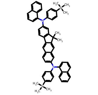 CC1(C)c2cc(N(c3ccc([Si](C)(C)C)cc3)c3cccc4ccccc34)ccc2-c2cc3ccc(N(c4ccc([Si](C)(C)C)cc4)c4cccc5ccccc45)cc3cc21